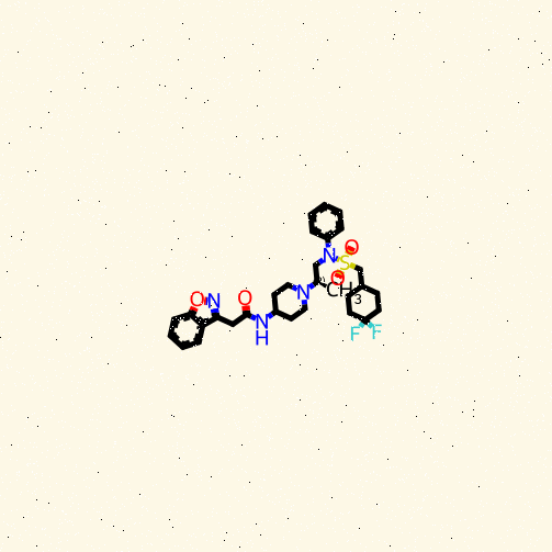 C[C@H](CN(c1ccccc1)S(=O)(=O)CC1CCC(F)(F)CC1)N1CCC(NC(=O)Cc2noc3ccccc23)CC1